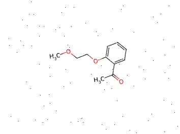 COCCOc1ccccc1C(C)=O